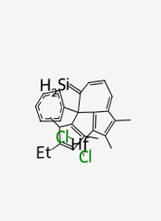 CCC1=CC(C)=C(C2(c3ccccc3)C(=[SiH2])C=CC=C3C(C)=C(C)[C]([Hf]([Cl])[Cl])=C32)C1C